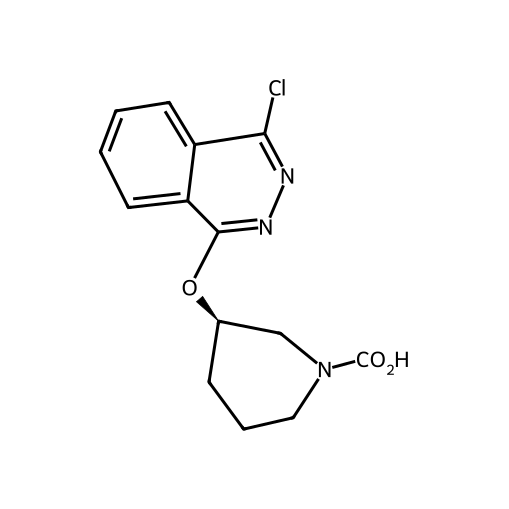 O=C(O)N1CCC[C@@H](Oc2nnc(Cl)c3ccccc23)C1